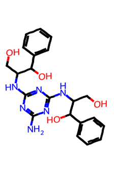 Nc1nc(NC(CO)C(O)c2ccccc2)nc(NC(CO)C(O)c2ccccc2)n1